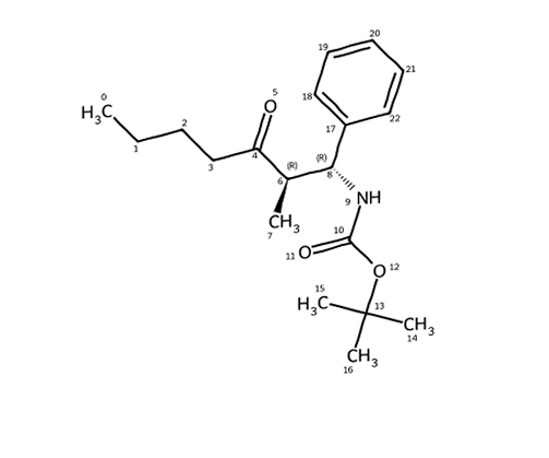 CCCCC(=O)[C@H](C)[C@@H](NC(=O)OC(C)(C)C)c1ccccc1